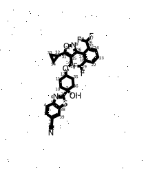 N#Cc1ccc2nc(C3(O)CCC(OCc4c(-c5c(C(F)F)cccc5C(F)F)noc4C4CC4)CC3)sc2c1